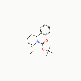 CC[C@@H]1CCCC(c2ccccc2)N1C(=O)OC(C)(C)C